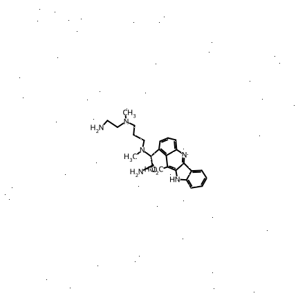 CN(CCN)CCCN(C)C(C(N)=O)c1cccc2nc3c([nH]c4ccccc43)c(C(=O)O)c12